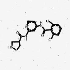 O=C(Nc1ccnc(NC(=O)C2CCNC2)c1)c1c(Cl)cccc1Cl